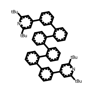 CC(C)(C)c1cc(-c2cccc(-c3ccccc3-c3ccccc3-c3ccccc3-c3ccccc3-c3cccc(-c4cc(C(C)(C)C)nc(C(C)(C)C)c4)c3)c2)cc(C(C)(C)C)n1